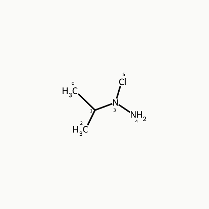 CC(C)N(N)Cl